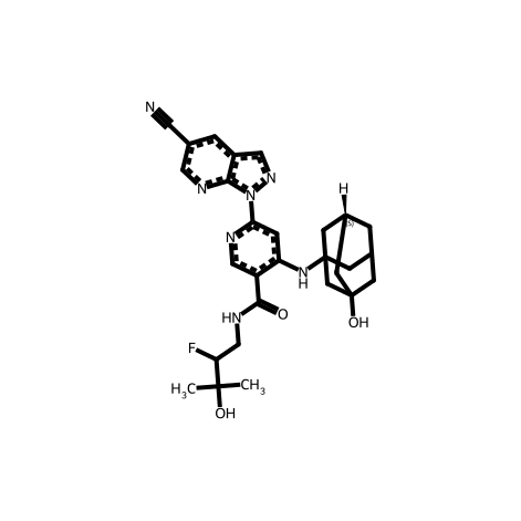 CC(C)(O)C(F)CNC(=O)c1cnc(-n2ncc3cc(C#N)cnc32)cc1NC12CC3C[C@H](CC(O)(C3)C1)C2